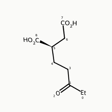 CCC(=O)CC[C@H](CC(=O)O)C(=O)O